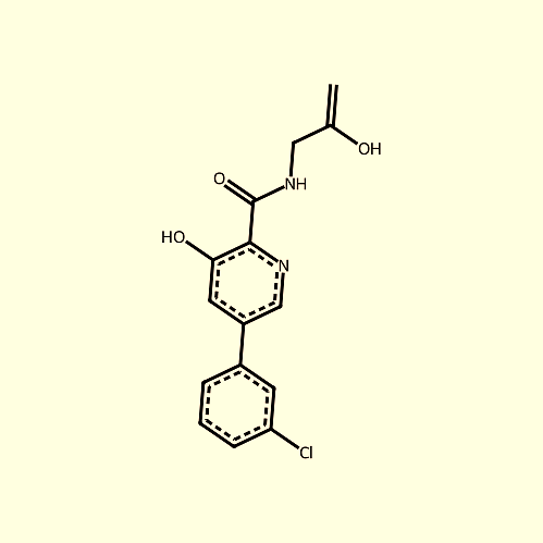 C=C(O)CNC(=O)c1ncc(-c2cccc(Cl)c2)cc1O